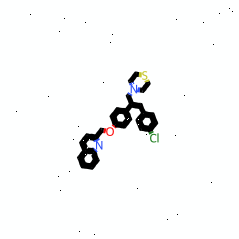 Clc1ccc(/C=C(/CN2CCSCC2)c2ccc(OCc3ccc4ccccc4n3)cc2)cc1